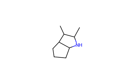 CC1NC2CCCC2C1C